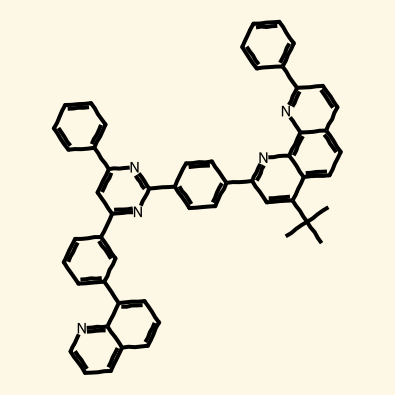 CC(C)(C)c1cc(-c2ccc(-c3nc(-c4ccccc4)cc(-c4cccc(-c5cccc6cccnc56)c4)n3)cc2)nc2c1ccc1ccc(-c3ccccc3)nc12